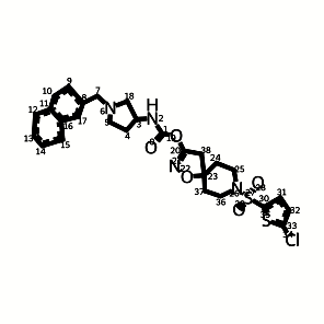 O=C(NC1CCN(Cc2ccc3ccccc3c2)C1)OC1=NOC2(CCN(S(=O)(=O)c3ccc(Cl)s3)CC2)C1